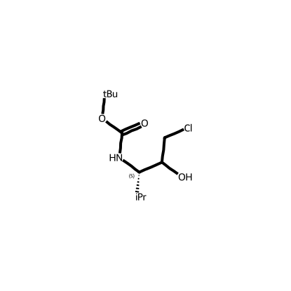 CC(C)[C@H](NC(=O)OC(C)(C)C)C(O)CCl